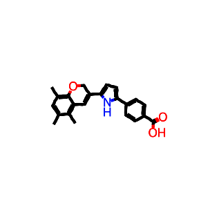 Cc1cc(C)c2c(c1C)C=C(c1ccc(-c3ccc(C(=O)O)cc3)[nH]1)CO2